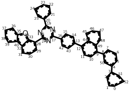 c1ccc(-c2cccc(-c3ccc(-c4ccc(-c5nc(-c6ccccc6)nc(-c6cccc7c6oc6ccccc67)n5)cc4)c4ccccc34)c2)cc1